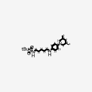 CC1C[C@@H](C)CN(c2ccc(NCCCCCNS(=O)(=O)C(C)(C)C)cc2)C1